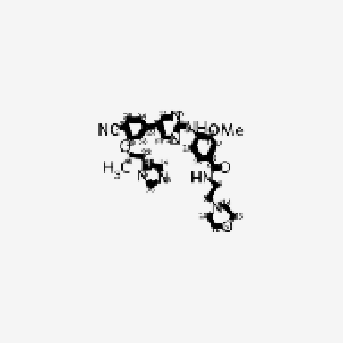 COc1cc(C(=O)NCCN2CCOCC2)ccc1Nc1ncc(-c2ccc(C#N)c(O[C@@H](C)Cn3cncn3)c2)cn1